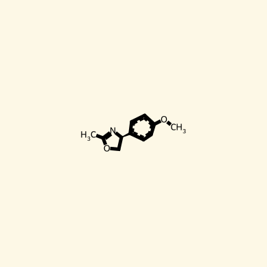 COc1ccc([C@H]2COC(C)=N2)cc1